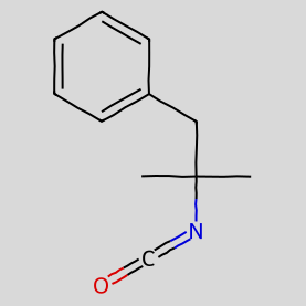 CC(C)(Cc1ccccc1)N=C=O